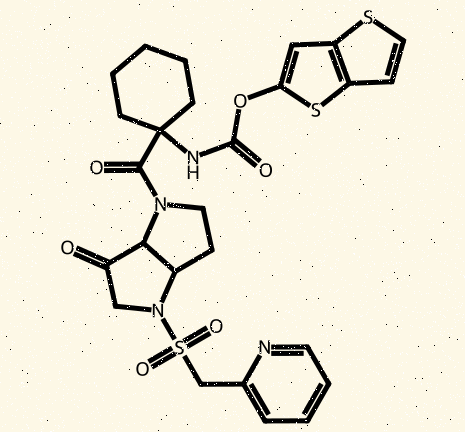 O=C(NC1(C(=O)N2CCC3C2C(=O)CN3S(=O)(=O)Cc2ccccn2)CCCCC1)Oc1cc2sccc2s1